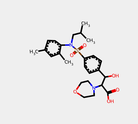 Cc1ccc(N(CC(C)C)S(=O)(=O)c2ccc(C(O)C(C(=O)O)N3CCOCC3)cc2)c(C)c1